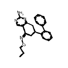 CCCON=C1CC(c2ccccc2-c2ccccc2)Cc2nc(N)ncc21